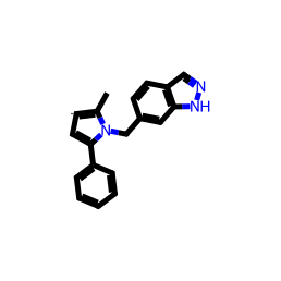 Cc1[c]cc(-c2ccccc2)n1Cc1ccc2cn[nH]c2c1